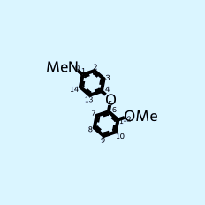 CNc1ccc(Oc2ccccc2OC)cc1